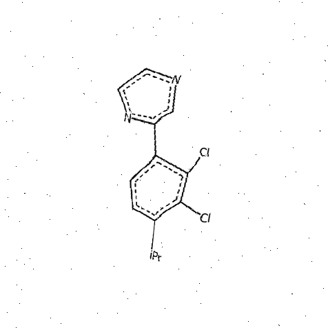 CC(C)c1ccc(-c2cnccn2)c(Cl)c1Cl